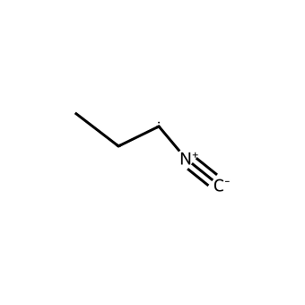 [C-]#[N+][CH]CC